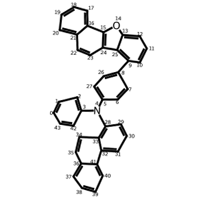 c1ccc(N(c2ccc(-c3cccc4oc5c6ccccc6ccc5c34)cc2)c2cccc3c2ccc2ccccc23)cc1